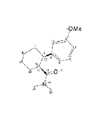 COc1cccc([C@@H]2CCCC[C@@H]2C(=O)N(C)C)c1